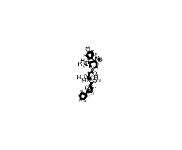 CC(C)(CC(=O)N1CC[C@](N=O)(c2ccc(Cl)cc2)C(C)(C)C1)NC(=O)c1ccc(-c2ccccc2)o1